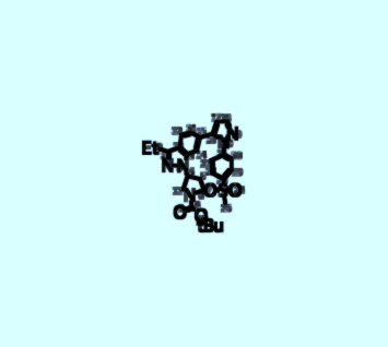 CCc1nn(C2CCN(C(=O)OC(C)(C)C)C2)c2cc(-c3ccnn3-c3ccc(S(C)(=O)=O)cc3)ccc12